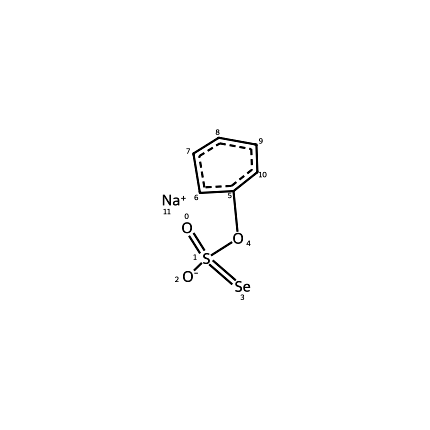 O=S([O-])(=[Se])Oc1ccccc1.[Na+]